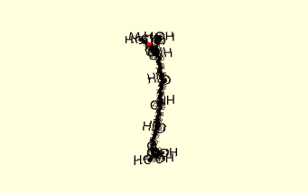 COP(=O)(O)OC[C@H](NC(=O)CCCCCNC(=O)CCCCCNC(=O)CCCCCNC(=O)CCCCO[C@H]1C[C@@H](O)[C@@H](O)[C@@H](CO)O1)C(=O)NCCO